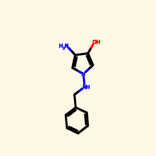 Nc1cn(NCc2ccccc2)cc1O